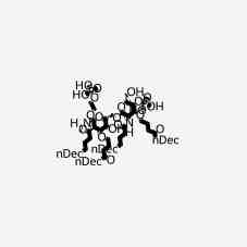 CCCCCCCCCCCCCC(=O)N[C@H]1[C@H](OC[C@H]2O[C@](N)(OCCOP(=O)(O)O)[C@H](C(=O)CCCCCCCCCCCCC)[C@@H](OCCCC(=O)CCCCCCCCCC)[C@@H]2O)O[C@H](CO)[C@@H](OP(=O)(O)O)[C@@H]1OCCCC(=O)CCCCCCCCCC